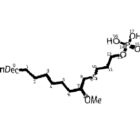 CCCCCCCCCCCCCCCCC(CSCCCOP(=O)(O)O)OC